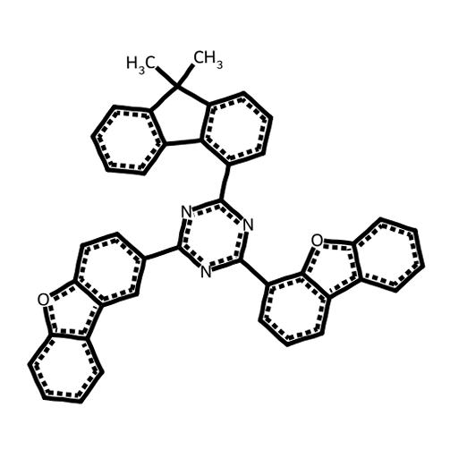 CC1(C)c2ccccc2-c2c(-c3nc(-c4ccc5oc6ccccc6c5c4)nc(-c4cccc5c4oc4ccccc45)n3)cccc21